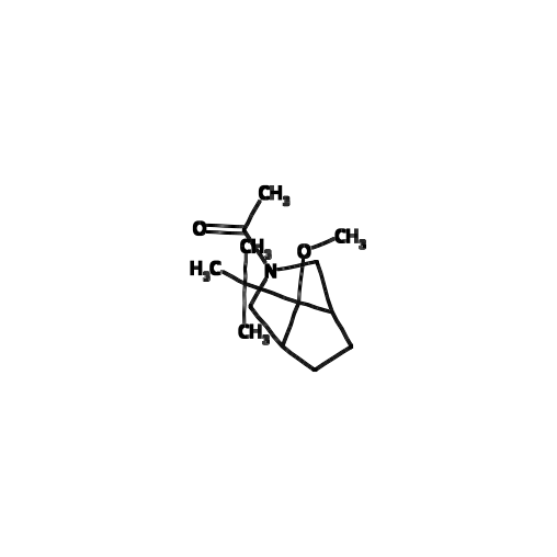 COC1(C(C)(C)C)C2CCC1CN(C(C)=O)C2